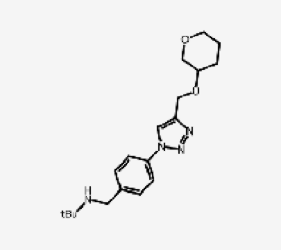 CC(C)(C)NCc1ccc(-n2cc(COC3CCCOC3)nn2)cc1